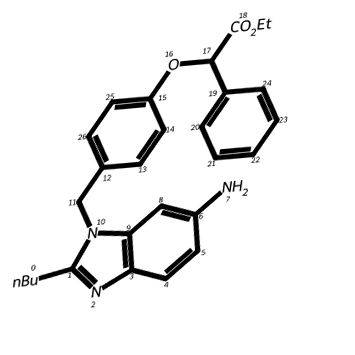 CCCCc1nc2ccc(N)cc2n1Cc1ccc(OC(C(=O)OCC)c2ccccc2)cc1